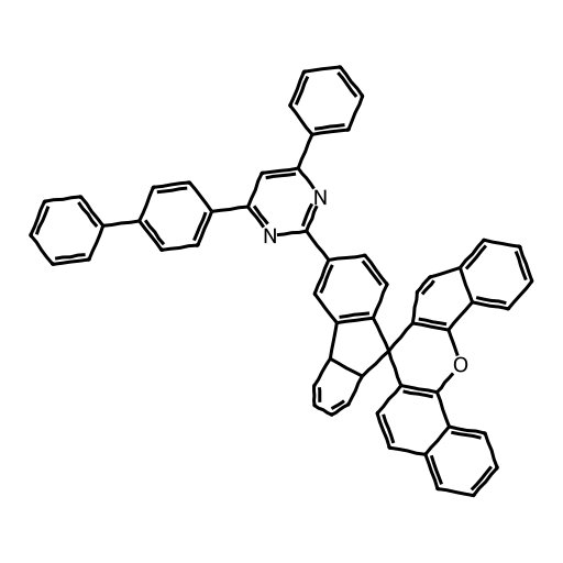 C1=CC2c3cc(-c4nc(-c5ccccc5)cc(-c5ccc(-c6ccccc6)cc5)n4)ccc3C3(c4ccc5ccccc5c4Oc4c3ccc3ccccc43)C2C=C1